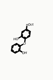 CCCCCCCCc1ccc(Oc2ccccc2O)c(O)c1